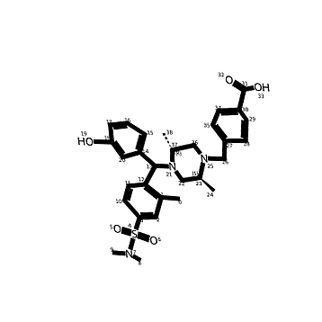 Cc1cc(S(=O)(=O)N(C)C)ccc1C(c1cccc(O)c1)N1C[C@H](C)N(Cc2ccc(C(=O)O)cc2)C[C@H]1C